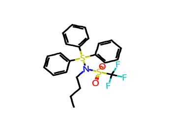 CCCCN(S(c1ccccc1)(c1ccccc1)c1ccccc1)S(=O)(=O)C(F)(F)F